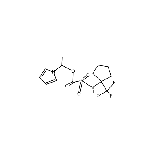 CC(OC(=O)S(=O)(=O)NC1(C(F)(F)F)CCCC1)n1cccc1